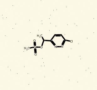 CC(OS(C)(=O)=O)c1ccc(Cl)nn1